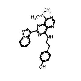 CN(C)c1ncnc2c(NCCc3ccc(O)cc3)nc(-c3csc4ccccc34)nc12